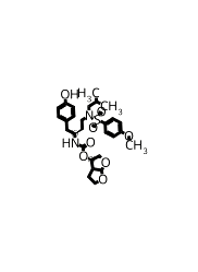 COc1ccc(S(=O)(=O)N(CC[C@H](Cc2ccc(O)cc2)NC(=O)O[C@H]2COC3OCCC32)CC(C)C)cc1